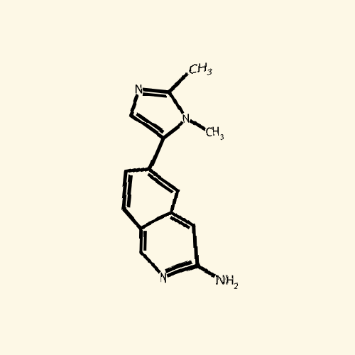 Cc1ncc(-c2ccc3cnc(N)cc3c2)n1C